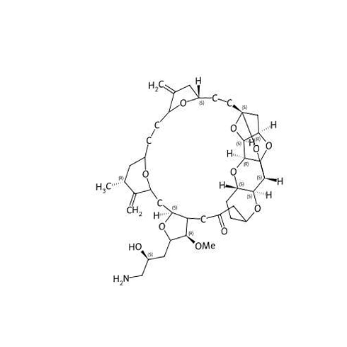 C=C1C[C@@H]2CC[C@@]34C[C@H]5OC6[C@@H](O[C@H]7CCC(CC(=O)CC8[C@@H](OC)C(C[C@H](O)CN)O[C@H]8CC8OC(CCC1O2)C[C@@H](C)C8=C)O[C@@H]7[C@@H]6O3)[C@H]5O4